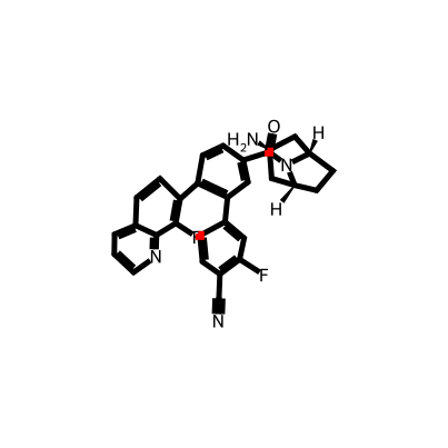 N#Cc1ccc(-c2cc(C(=O)N3[C@@H]4CC[C@H]3C[C@H](N)C4)ccc2-c2ccc3cccnc3c2F)cc1F